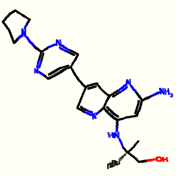 CCCC[C@](C)(CO)Nc1cc(N)nc2cc(-c3cnc(N4CCCC4)nc3)cnc12